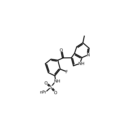 CCCS(=O)(=O)Nc1cccc(C(=O)c2c[nH]c3ncc(C)cc23)c1F